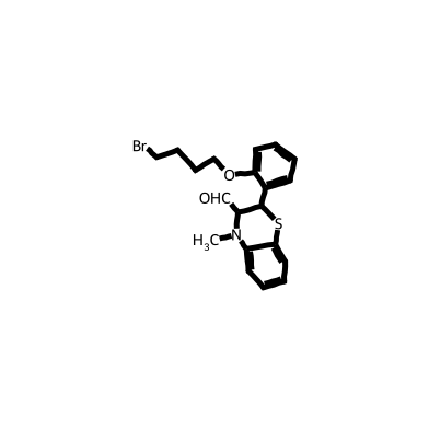 CN1c2ccccc2SC(c2ccccc2OCCCCBr)C1C=O